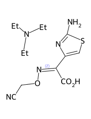 CCN(CC)CC.N#CCO/N=C(\C(=O)O)c1csc(N)n1